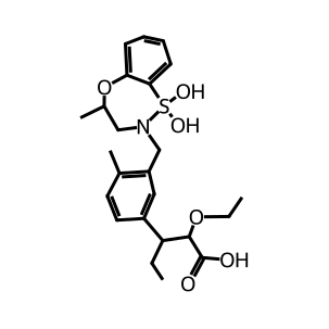 CCOC(C(=O)O)C(CC)c1ccc(C)c(CN2CC(C)Oc3ccccc3S2(O)O)c1